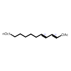 CCCCCCCCCCCCC/C=C/C=C/OC(C)=O